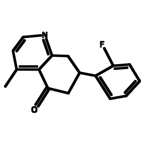 Cc1ccnc2c1C(=O)CC(c1ccccc1F)C2